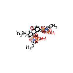 CCCc1cc2c(c(S(=O)(=O)N(CCC)S(=O)(=O)O)c1)C(=O)c1cc(S(=O)(=O)N(CCC)S(=O)(=O)O)ccc1C2=O